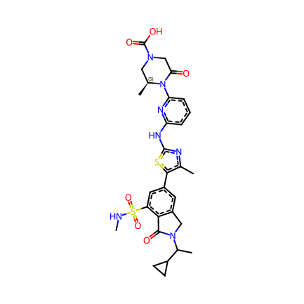 CNS(=O)(=O)c1cc(-c2sc(Nc3cccc(N4C(=O)CN(C(=O)O)C[C@@H]4C)n3)nc2C)cc2c1C(=O)N(C(C)C1CC1)C2